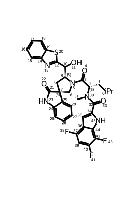 CC(C)C[C@@H](C(=O)N1C[C@]2(C[C@H]1C(O)c1nc3ccccc3s1)C(=O)Nc1ccccc12)N(C)C(=O)c1cc2c(F)cc(F)c(F)c2[nH]1